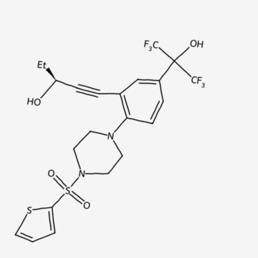 CC[C@H](O)C#Cc1cc(C(O)(C(F)(F)F)C(F)(F)F)ccc1N1CCN(S(=O)(=O)c2cccs2)CC1